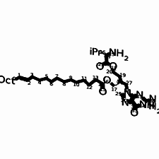 CCCCCCCCC=CCCCCCCCCCCCC(=O)OC[C@H](CCOC(=O)[C@@H](N)C(C)C)Cn1cnc2c(=O)[nH]c(N)nc21